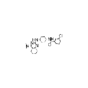 CN(C)c1nc(N[C@H]2CC[C@@H](NC(=O)c3cccc(Cl)c3)CC2)nc2c1CCCC2